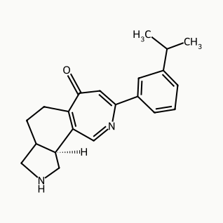 CC(C)c1cccc(-c2cc(=O)c3c(cn2)[C@H]2CNCC2CC3)c1